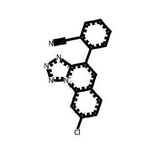 N#Cc1ccccc1-c1cc2ccc(Cl)cc2n2nnnc12